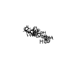 O=P(O)(O)CP(=O)(O)OC[C@H]1CO[C@@H](n2ncc3c(NC4CCCC4)cc(Cl)nc32)C([SiH2]F)[C@@H]1O